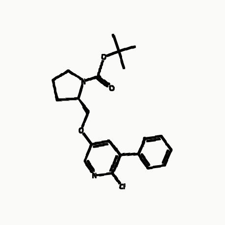 CC(C)(C)OC(=O)N1CCC[C@@H]1COc1cnc(Cl)c(-c2ccccc2)c1